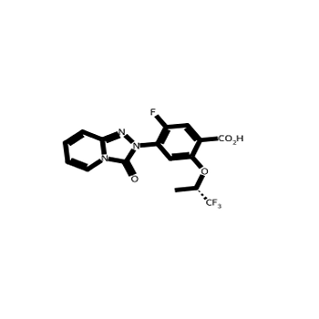 C[C@H](Oc1cc(-n2nc3ccccn3c2=O)c(F)cc1C(=O)O)C(F)(F)F